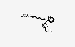 CCOC(=O)CCCCCCN(c1ccccn1)c1nc(C)ns1